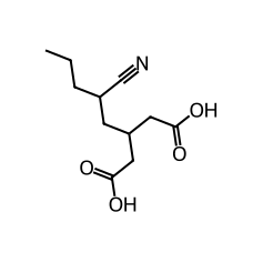 CCCC(C#N)CC(CC(=O)O)CC(=O)O